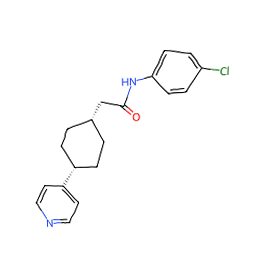 O=C(C[C@H]1CC[C@@H](c2ccncc2)CC1)Nc1ccc(Cl)cc1